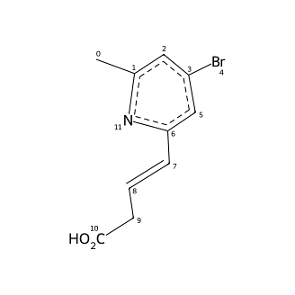 Cc1cc(Br)cc(C=CCC(=O)O)n1